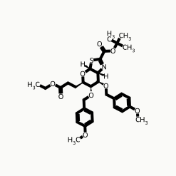 CCOC(=O)CC[C@H]1O[C@@H]2SC(C(=O)OC(C)(C)C)=N[C@@H]2[C@@H](OCc2ccc(OC)cc2)[C@@H]1OCc1ccc(OC)cc1